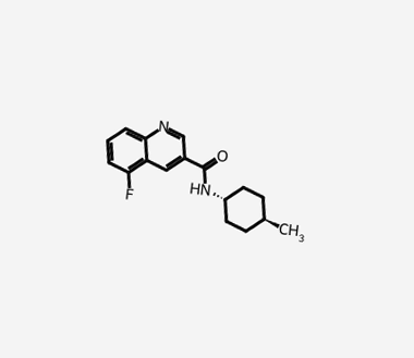 C[C@H]1CC[C@H](NC(=O)c2cnc3cccc(F)c3c2)CC1